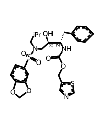 CC(C)CN(C[C@@H](O)[C@H](Cc1ccccc1)NC(=O)OCc1cncs1)S(=O)(=O)c1ccc2c(c1)OCO2